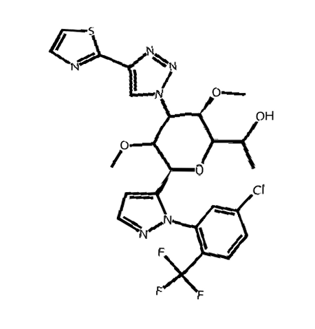 COC1C(n2cc(-c3nccs3)nn2)[C@@H](OC)C(C(C)O)O[C@H]1c1ccnn1-c1cc(Cl)ccc1C(F)(F)F